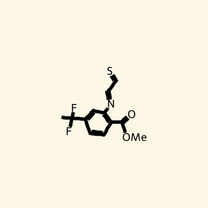 COC(=O)c1ccc(C(C)(F)F)cc1N=CC=S